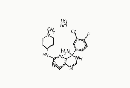 CN1CCC(Nc2ncc3c(n2)C(N)(c2ccc(F)c(Cl)c2)NC=N3)CC1.Cl.Cl